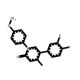 Cc1cc(=O)n(-c2ccc(OC(F)(F)F)cc2)cc1-c1ccc(F)c(F)c1